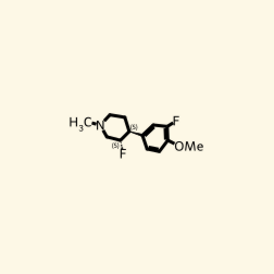 COc1ccc([C@@H]2CCN(C)C[C@H]2F)cc1F